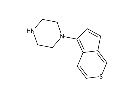 c1cc2c(N3CCNCC3)ccc-2cs1